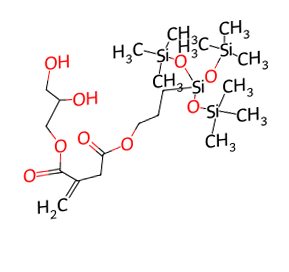 C=C(CC(=O)OCCC[Si](O[Si](C)(C)C)(O[Si](C)(C)C)O[Si](C)(C)C)C(=O)OCC(O)CO